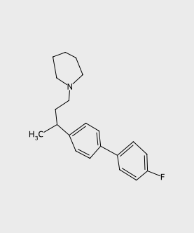 CC(CCN1CCCCC1)c1ccc(-c2ccc(F)cc2)cc1